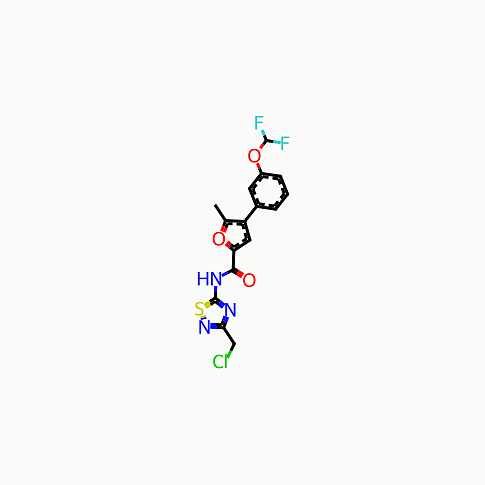 Cc1oc(C(=O)Nc2nc(CCl)ns2)cc1-c1cccc(OC(F)F)c1